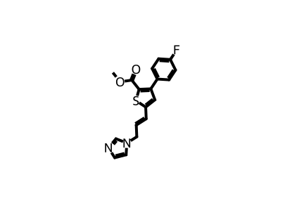 COC(=O)c1sc(C=CCn2ccnc2)cc1-c1ccc(F)cc1